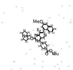 COc1cc(-c2ncc3c(N4CCN(C(=O)OC(C)(C)C)CC4)nc(OCC45CCCN4CCC5)nc3c2F)c2ccccc2c1